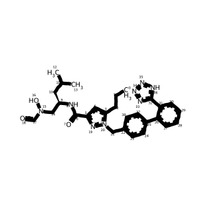 CCCc1cc(C(=O)N[C@H](CC(C)C)CN(O)C=O)nn1Cc1ccc(-c2ccccc2-c2nnn[nH]2)cc1